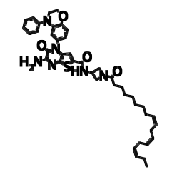 CC/C=C\C/C=C\C/C=C\CCCCCCCC(=O)N1CC(NC(=O)c2cc3c(nc(N)c(=O)n3-c3ccc4c(c3)N(c3ccccc3)CCO4)s2)C1